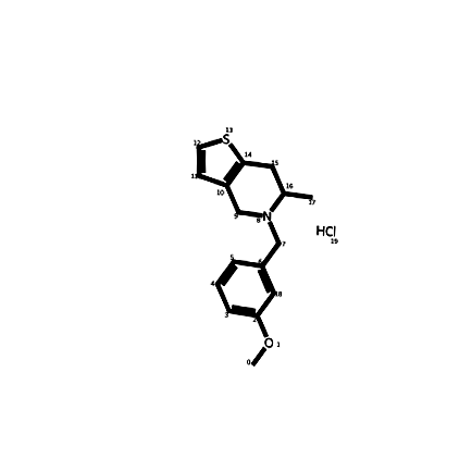 COc1cccc(CN2Cc3ccsc3CC2C)c1.Cl